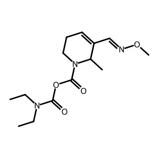 CCN(CC)C(=O)OC(=O)N1CCC=C(C=NOC)C1C